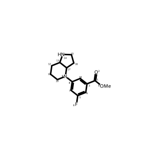 COC(=O)c1cc(F)cc(N2CCCC3NCCC32)c1